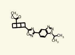 COC(=O)C12C3C4C1C1C2C3C41c1nc(-c2ccc3c(c2)nnn3C(C)C)no1